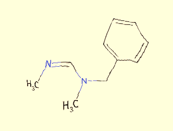 C/N=C\N(C)Cc1ccccc1